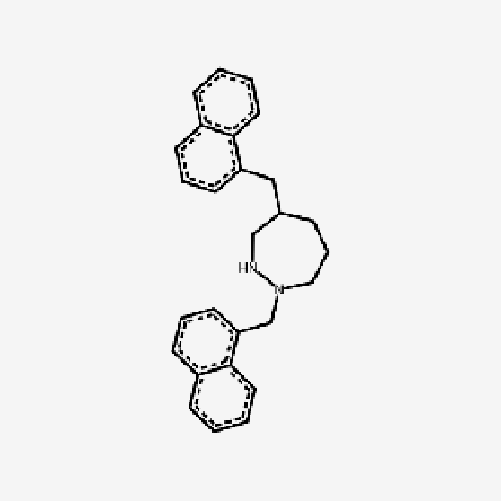 c1ccc2c(CC3CCCN(Cc4cccc5ccccc45)NC3)cccc2c1